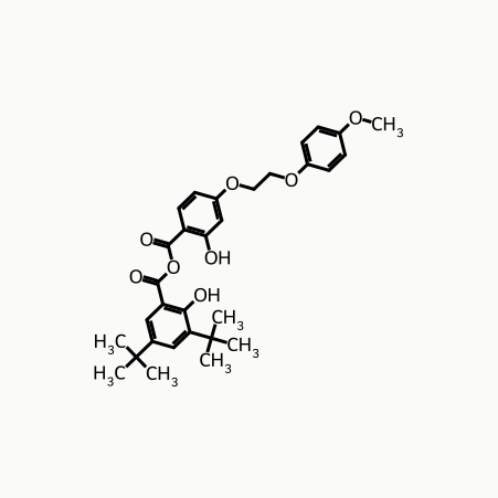 COc1ccc(OCCOc2ccc(C(=O)OC(=O)c3cc(C(C)(C)C)cc(C(C)(C)C)c3O)c(O)c2)cc1